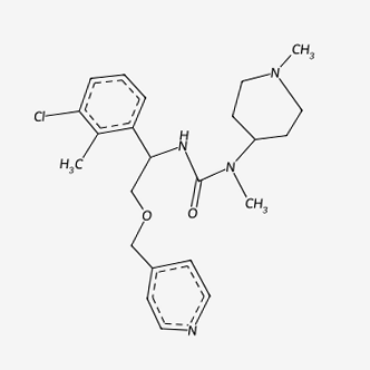 Cc1c(Cl)cccc1C(COCc1ccncc1)NC(=O)N(C)C1CCN(C)CC1